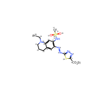 CCOC(=O)c1nnc(N=Nc2cc3c(cc2NS(=O)(=O)C(F)(F)F)N(CC(C)C)CCC3)s1